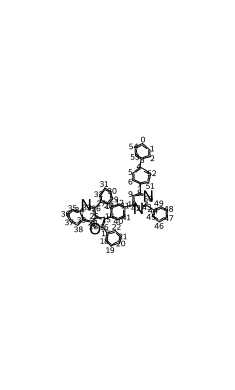 c1ccc(-c2ccc(-c3cc(-c4ccc(-c5c(-c6ccccc6)oc6c5c(-c5ccccc5)nc5ccccc56)cc4)nc(-c4ccccc4)n3)cc2)cc1